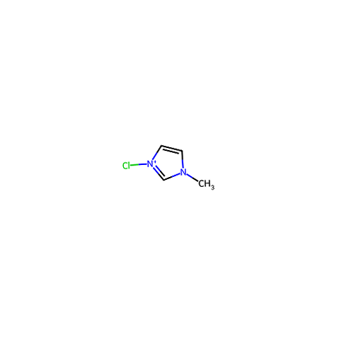 Cn1cc[n+](Cl)c1